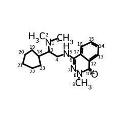 CN(C)C(CNc1nn(C)c(=O)c2ccccc12)C1CCCCC1